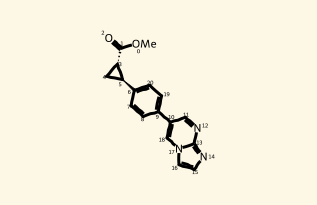 COC(=O)[C@H]1C[C@@H]1c1ccc(-c2cnc3nccn3c2)cc1